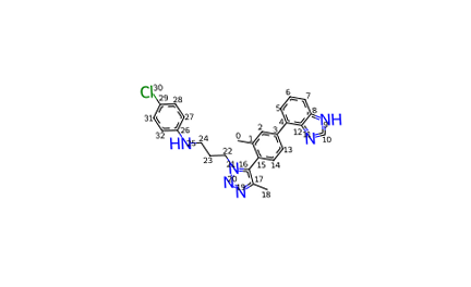 Cc1cc(-c2cccc3[nH]cnc23)ccc1-c1c(C)nnn1CCCNc1ccc(Cl)cc1